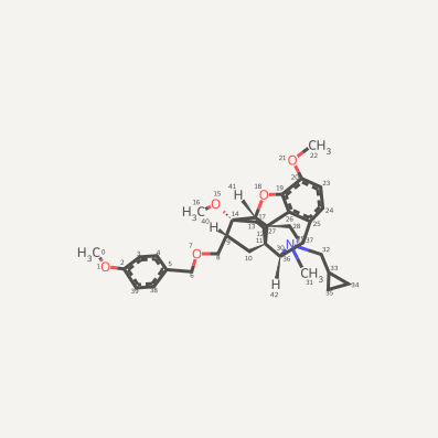 COc1ccc(COC[C@H]2C[C@@]34CC[C@]2(OC)[C@@H]2Oc5c(OC)ccc6c5[C@@]23CC[N+](C)(CC2CC2)[C@@H]4C6)cc1